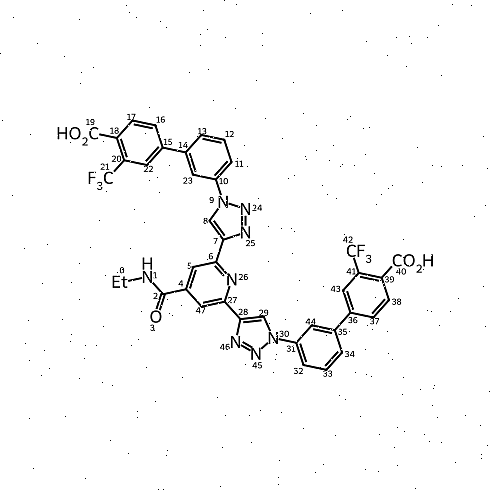 CCNC(=O)c1cc(-c2cn(-c3cccc(-c4ccc(C(=O)O)c(C(F)(F)F)c4)c3)nn2)nc(-c2cn(-c3cccc(-c4ccc(C(=O)O)c(C(F)(F)F)c4)c3)nn2)c1